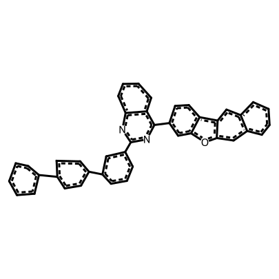 c1ccc(-c2ccc(-c3cccc(-c4nc(-c5ccc6c(c5)oc5cc7ccccc7cc56)c5ccccc5n4)c3)cc2)cc1